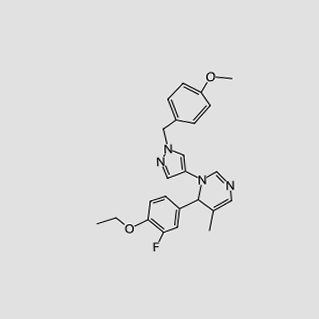 CCOc1ccc(C2C(C)=CN=CN2c2cnn(Cc3ccc(OC)cc3)c2)cc1F